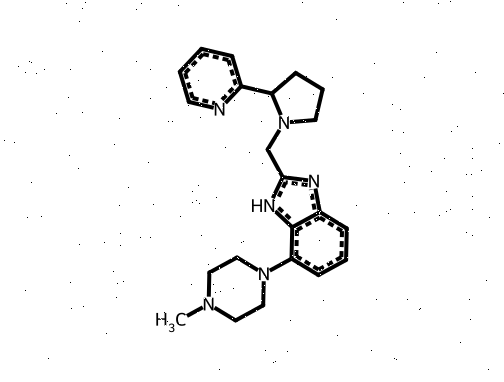 CN1CCN(c2cccc3nc(CN4CCCC4c4ccccn4)[nH]c23)CC1